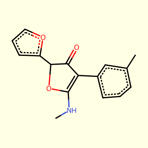 CNC1=C(c2cccc(C)c2)C(=O)C(c2ccco2)O1